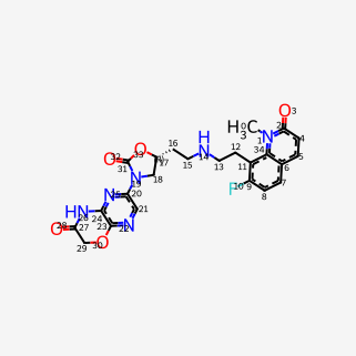 Cn1c(=O)ccc2ccc(F)c(CCNCC[C@@H]3CN(c4cnc5c(n4)NC(=O)CO5)C(=O)O3)c21